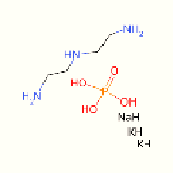 NCCNCCN.O=P(O)(O)O.[KH].[KH].[NaH]